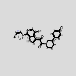 N/C=C\Nc1ncc(F)c2c(C(=O)C(=O)N3CCCC(c4ccc(Cl)cc4)C3)c[nH]c12